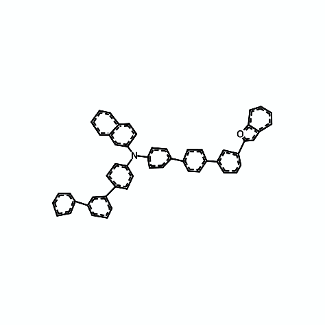 c1ccc(-c2cccc(-c3ccc(N(c4ccc(-c5ccc(-c6cccc(-c7cc8ccccc8o7)c6)cc5)cc4)c4ccc5ccccc5c4)cc3)c2)cc1